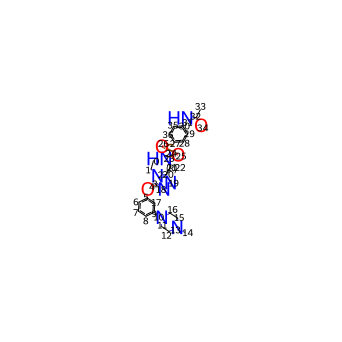 CCn1c(Oc2cccc(N3CCN(C)CC3)c2)nnc1[C@@H](C)NS(=O)(=O)c1ccc(NC(C)=O)cc1